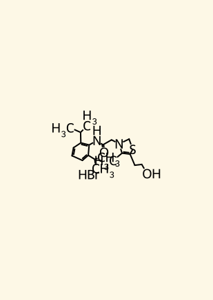 Br.CC1=C(CCO)SCN1CC(=O)Nc1c(C(C)C)cccc1C(C)C